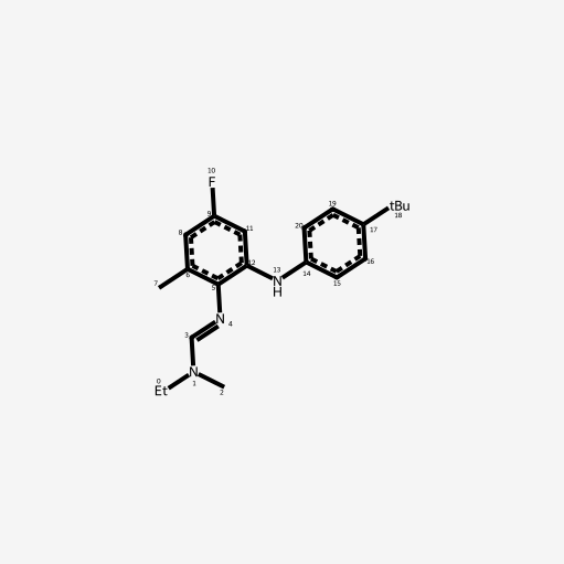 CCN(C)C=Nc1c(C)cc(F)cc1Nc1ccc(C(C)(C)C)cc1